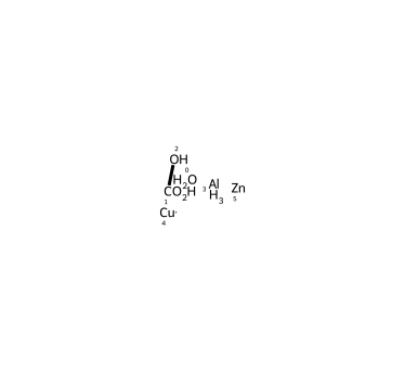 O.O=C(O)O.[AlH3].[Cu].[Zn]